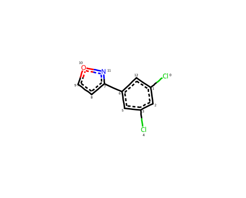 Clc1cc(Cl)cc(-c2c[c]on2)c1